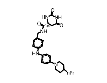 CCCC1CCN(c2ccc(Nc3ccc(CNC(=O)[C@H]4CC(=O)NC(=O)N4)cc3)cc2)CC1